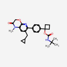 CN1C(=O)COc2nc(-c3ccc(C4(OC(=O)NC(C)(C)C)CCC4)cc3)c(CC3CC3)cc21